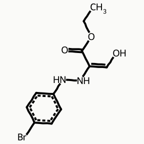 CCOC(=O)C(=CO)NNc1ccc(Br)cc1